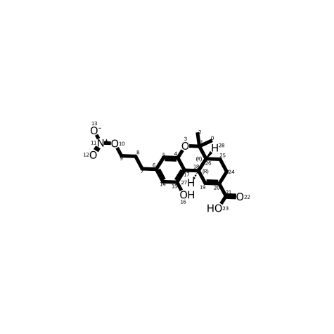 CC1(C)Oc2cc(CCCO[N+](=O)[O-])cc(O)c2[C@@H]2C=C(C(=O)O)CC[C@H]21